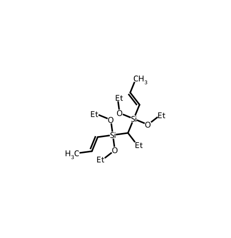 CC=C[Si](OCC)(OCC)C(CC)[Si](C=CC)(OCC)OCC